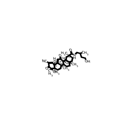 CC(CCO)CNC(=O)[C@@]1(C)CC[C@]2(C)CC[C@@]3(C)[C@]4(C)CC[C@H]5C(C)(C)C(=O)C(C#N)=C[C@]5(C)C4=CC(=O)[C@]3(O)[C@@H]2C1